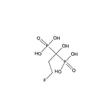 O=P(O)(O)C(O)(CCF)P(=O)(O)O